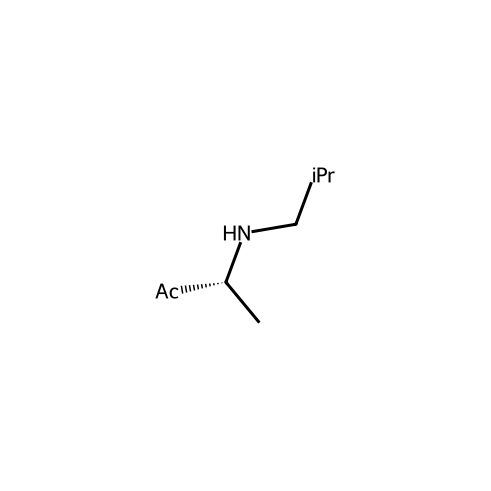 CC(=O)[C@@H](C)NCC(C)C